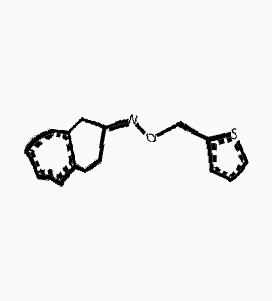 c1csc(CON=C2Cc3ccccc3C2)c1